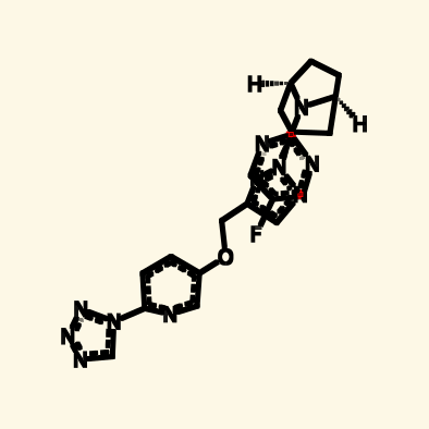 Fc1cnc(N2[C@@H]3CC[C@H]2C[C@@H](n2ncc(COc4ccc(-n5cnnn5)nc4)n2)C3)nc1